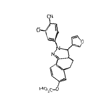 N#Cc1ccc(N2N=C3c4ccc(OC(=O)O)cc4CCC3C2c2ccoc2)cc1Cl